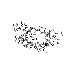 CC(C)CN(Cc1ccc(-c2cnc(N(C(=O)OC(C)(C)C)C(=O)OC(C)(C)C)c(N(Cc3c(Cl)cccc3Cl)C(=O)OC(C)(C)C)n2)cc1)C1CCN(C(=O)OC(C)(C)C)[C@@](C(=O)O)(C2CCCC2)C1